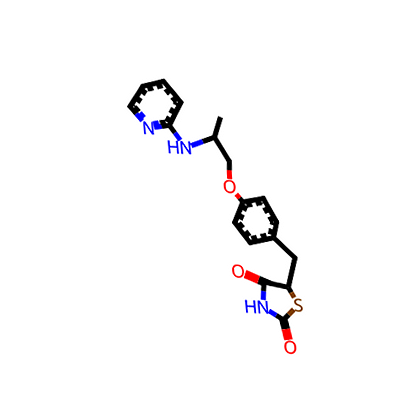 CC(COc1ccc(CC2SC(=O)NC2=O)cc1)Nc1ccccn1